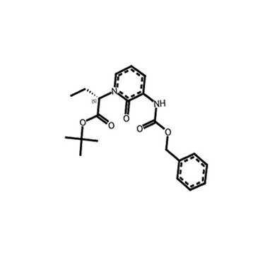 CC[C@@H](C(=O)OC(C)(C)C)n1cccc(NC(=O)OCc2ccccc2)c1=O